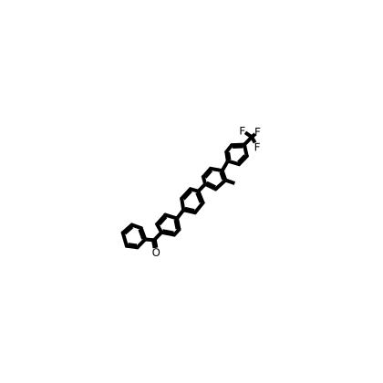 Cc1cc(-c2ccc(-c3ccc(C(=O)c4ccccc4)cc3)cc2)ccc1-c1ccc(C(F)(F)F)cc1